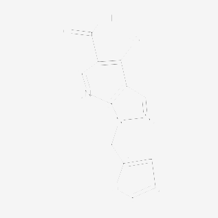 CC(=O)c1cnc2c(cnn2Cc2ccco2)c1O